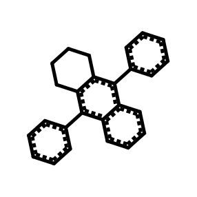 c1ccc(-c2c3c(c(-c4ccccc4)c4ccccc24)CCCC3)cc1